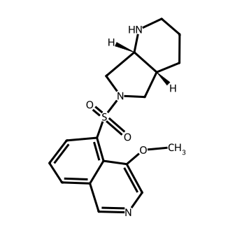 COc1cncc2cccc(S(=O)(=O)N3C[C@H]4CCCN[C@H]4C3)c12